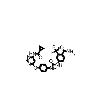 NC(=O)c1ccc(NC(=O)Nc2ccc(Oc3cc(NC(=O)C4CC4)ncn3)cc2)cc1C(F)(F)F